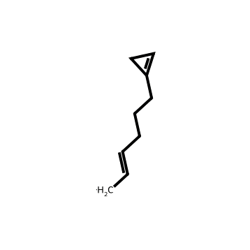 [CH2]C=CCCCC1=CC1